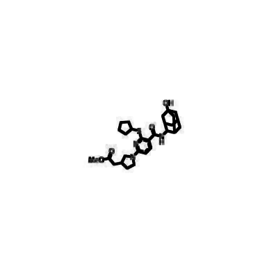 COC(=O)CC1CCN(c2ccc(C(=O)NC3C4CC5CC3CC(O)(C5)C4)c(SC3CCCC3)n2)C1